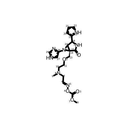 COC(=O)ON=CCN(C)CCOC[C@]12C(=O)NC(c3ccc[nH]3)C1N2c1c[nH]cn1